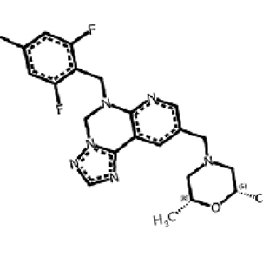 C[C@@H]1CN(Cc2cnc3c(c2)-c2ncnn2CN3Cc2c(F)cc(Cl)cc2F)C[C@H](C)O1